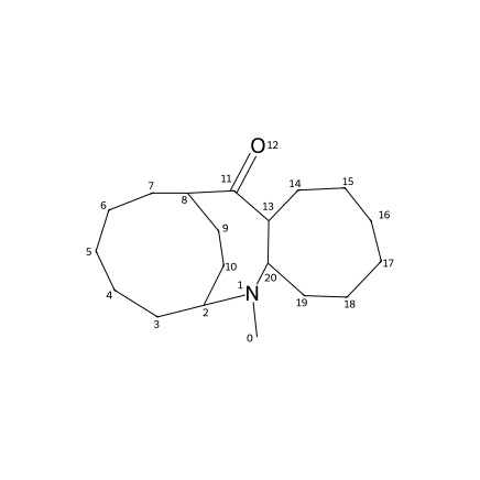 CN1C2CCCCCC(CC2)C(=O)C2CCCCCCC21